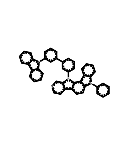 c1ccc(-n2c3ccccc3c3c2ccc2c4ccncc4n(-c4cccc(-c5cccc(-n6c7ccccc7c7ccccc76)c5)c4)c23)cc1